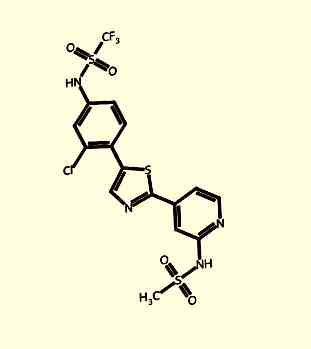 CS(=O)(=O)Nc1cc(-c2ncc(-c3ccc(NS(=O)(=O)C(F)(F)F)cc3Cl)s2)ccn1